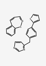 C1=Cc2ccccc2SN=C1.c1csc(-c2ccc(Cc3ccncn3)cc2)c1